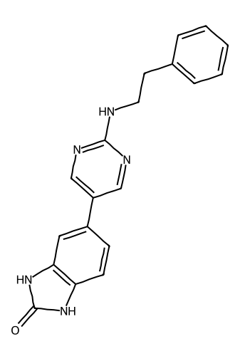 O=c1[nH]c2ccc(-c3cnc(NCCc4ccccc4)nc3)cc2[nH]1